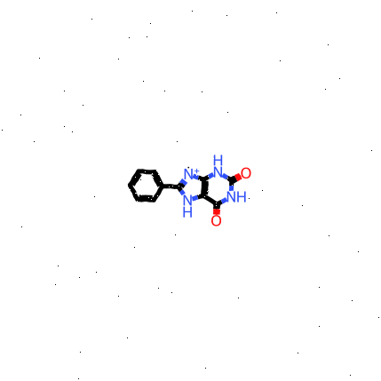 O=c1[nH]c2c(c(=O)[nH]1)NC(c1ccccc1)=[N+]2